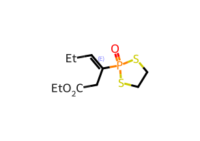 CC/C=C(\CC(=O)OCC)P1(=O)SCCS1